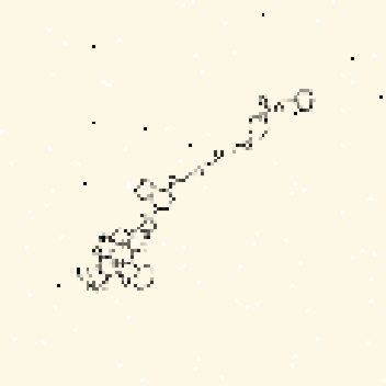 CC(C(=O)NC(C(=O)N1CCC[C@H]1c1nc(-c2ccc(OCCOCCOCCOC3CCN(C(=O)OCc4ccccc4)CC3)c3ccccc23)cs1)C1CCCCC1)N(C)C(=O)OC(C)(C)C